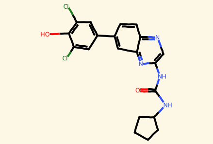 O=C(Nc1cnc2ccc(-c3cc(Cl)c(O)c(Cl)c3)cc2n1)NC1CCCC1